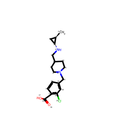 C[C@@H]1C[C@H]1NCC1CCN(Cc2ccc(C(=O)O)c(Cl)c2)CC1